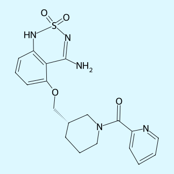 NC1=NS(=O)(=O)Nc2cccc(OC[C@H]3CCCN(C(=O)c4ccccn4)C3)c21